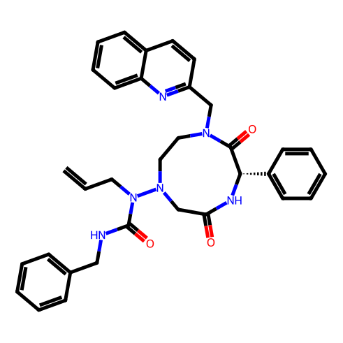 C=CCN(C(=O)NCc1ccccc1)N1CCN(Cc2ccc3ccccc3n2)C(=O)[C@H](c2ccccc2)NC(=O)C1